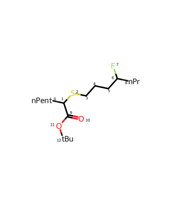 CCCCCC(SCCCC(F)CCC)C(=O)OC(C)(C)C